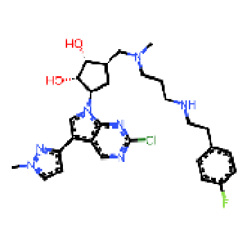 CN(CCCNCCc1ccc(F)cc1)C[C@H]1C[C@@H](n2cc(-c3ccn(C)n3)c3cnc(Cl)nc32)[C@H](O)[C@@H]1O